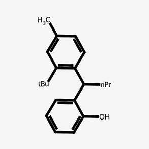 CCCC(c1ccccc1O)c1ccc(C)cc1C(C)(C)C